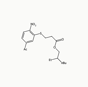 CCCCC(CC)COC(=O)CCSc1cc(C(C)=O)ccc1[N+](=O)[O-]